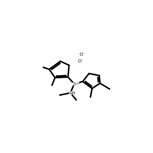 CC1=CC[C]([Zr+2]([C]2=C(C)C(C)=CC2)[SiH](C)C)=C1C.[Cl-].[Cl-]